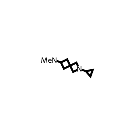 CNC1CC2(C1)CN(C1CC1)C2